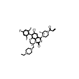 C=CC(=O)N1CCN(c2nc(=O)n3c4c(c(-c5c(F)cc(F)cc5F)c(Cl)cc24)SC[C@@H]3CN2CCN(CC)CC2)[C@@H](C)C1